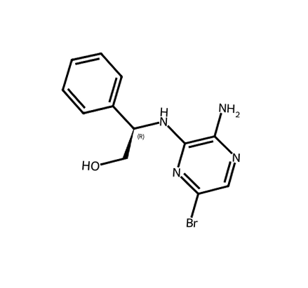 Nc1ncc(Br)nc1N[C@@H](CO)c1ccccc1